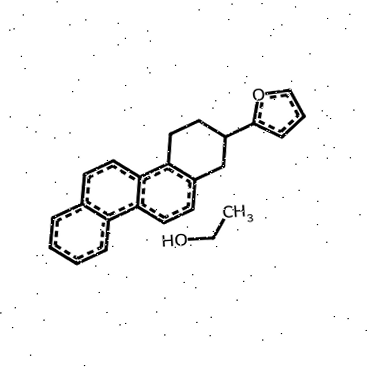 CCO.c1coc(C2CCc3c(ccc4c3ccc3ccccc34)C2)c1